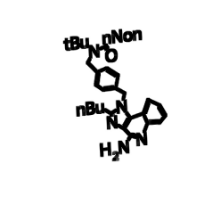 CCCCCCCCCC(=O)N(Cc1ccc(Cn2c(CCCC)nc3c(N)nc4ccccc4c32)cc1)C(C)(C)C